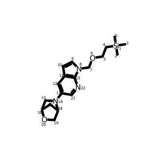 C[Si](C)(C)CCOCn1ccc2cc(N3CC4CC3CO4)cnc21